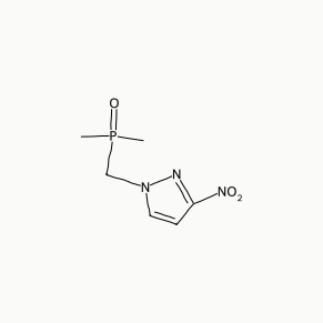 CP(C)(=O)Cn1ccc([N+](=O)[O-])n1